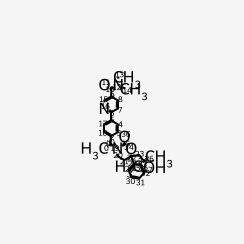 C[C@@H](c1ccc(-c2ccc(C(=O)N(C)C)cn2)cc1)N1CCC(CC(C)(C)O)(c2ccccc2)OC1=O